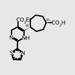 CCOC(=O)C1=C([C@@H]2CCC[C@@H](C(=O)O)CC2)NC(c2nccs2)=NC1